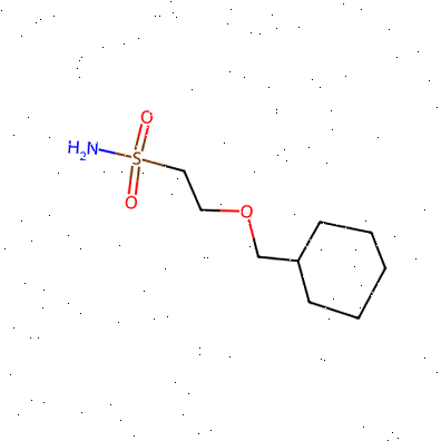 NS(=O)(=O)CCOCC1CCCCC1